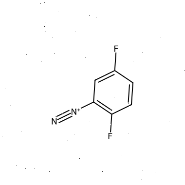 N#[N+]c1cc(F)ccc1F